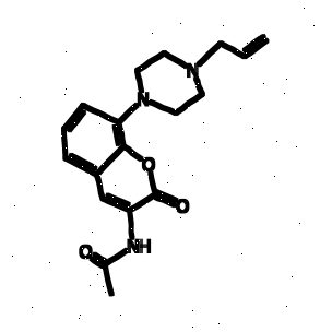 C=CCN1CCN(c2cccc3cc(NC(C)=O)c(=O)oc23)CC1